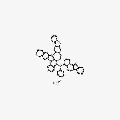 C=Cc1ccc(N(c2cccc3c2ccc2c4ccccc4sc32)c2c3c4c(c5ccccc25)c2cc5ccccc5cc2n4-c2cc4c(cc2C=C3)sc2ccccc24)cc1